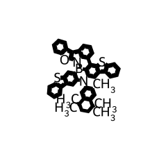 Cc1cc2c(cc1N1c3cc4c(cc3B3c5c1cc1c(sc6ccccc61)c5-c1cccc5c6c7ccccc7oc6n3c15)sc1ccccc14)C(C)(C)CCC2(C)C